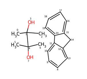 CC(C)(O)C(C)(C)O.c1ccc2c(c1)Cc1ccccc1-2